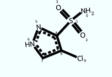 NS(=O)(=O)c1n[nH]cc1Cl